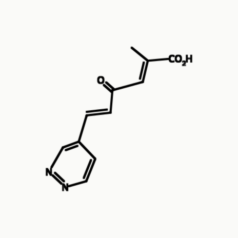 CC(=CC(=O)C=Cc1ccnnc1)C(=O)O